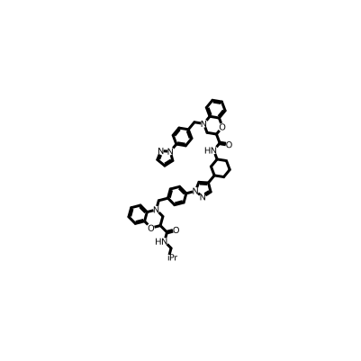 CC(C)CNC(=O)C1CN(Cc2ccc(-n3cc(C4CCCC(NC(=O)C5CN(Cc6ccc(-n7cccn7)cc6)c6ccccc6O5)C4)cn3)cc2)c2ccccc2O1